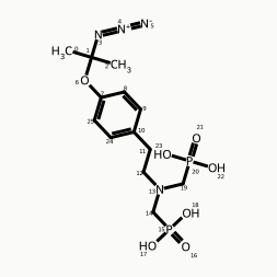 CC(C)(N=[N+]=[N-])Oc1ccc(CCN(CP(=O)(O)O)CP(=O)(O)O)cc1